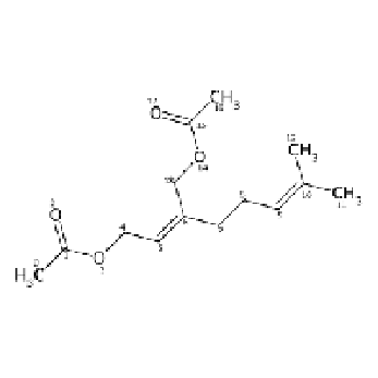 CC(=O)OCC=C(CCC=C(C)C)COC(C)=O